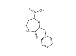 O=C(O)C1CCNC(=O)C(Cc2ccccc2)O1